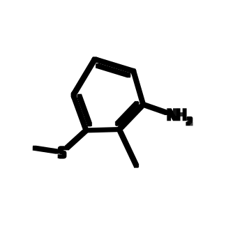 CSc1cccc(N)c1C